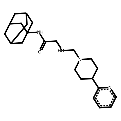 O=C(CNCN1CCC(c2ccccn2)CC1)NC12CC3CC(CC(C3)C1)C2